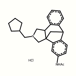 CC(=O)Nc1ccc2c(c1)C13CC2c2ccccc2C1CN(CC1CCCC1)C3.Cl